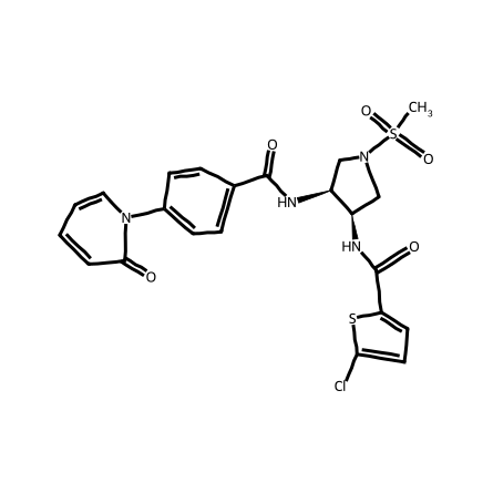 CS(=O)(=O)N1C[C@H](NC(=O)c2ccc(-n3ccccc3=O)cc2)[C@H](NC(=O)c2ccc(Cl)s2)C1